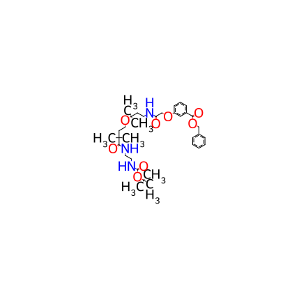 CC(C)(C)OC(=O)NCCNC(=O)C(C)(C)CCOC(C)(C)CCNC(=O)COc1cccc(C(=O)OCc2ccccc2)c1